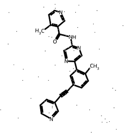 Cc1ccncc1C(=O)Nc1cnc(-c2cc(C#Cc3cccnc3)ccc2C)cn1